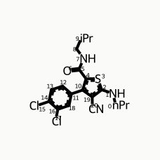 CCCNc1sc(C(=O)NCC(C)C)c(-c2ccc(Cl)c(Cl)c2)c1C#N